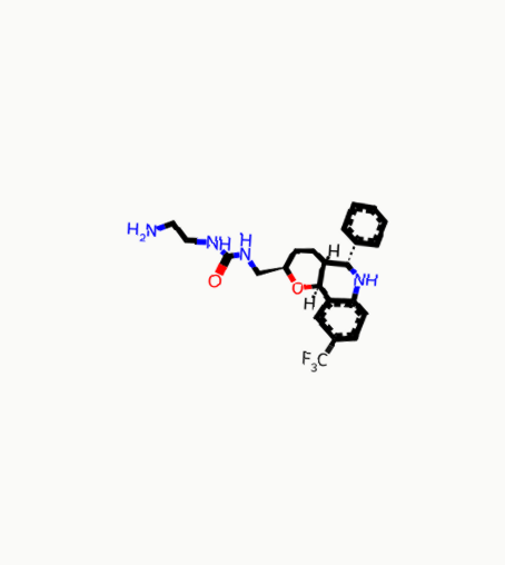 NCCNC(=O)NC[C@H]1CC[C@@H]2[C@H](O1)c1cc(C(F)(F)F)ccc1N[C@H]2c1ccccc1